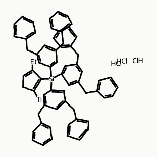 CCC1=CC[C]([Ti])=C1[Si](c1cc(Cc2ccccc2)cc(Cc2ccccc2)c1)(c1cc(Cc2ccccc2)cc(Cc2ccccc2)c1)c1cc(Cc2ccccc2)cc(Cc2ccccc2)c1.Cl.Cl.Cl